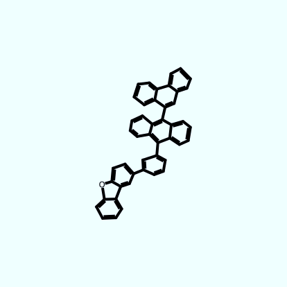 c1cc(-c2ccc3oc4ccccc4c3c2)cc(-c2c3ccccc3c(-c3cc4ccccc4c4ccccc34)c3ccccc23)c1